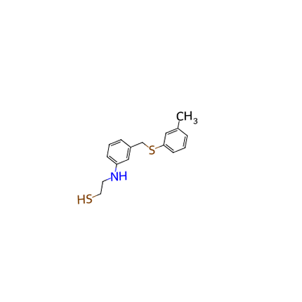 Cc1cccc(SCc2cccc(NCCS)c2)c1